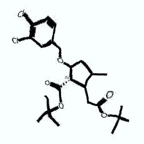 CC1CC(OCc2ccc(Cl)c(Cl)c2)[C@@H](C(=O)OC(C)(C)C)C1CC(=O)OC(C)(C)C